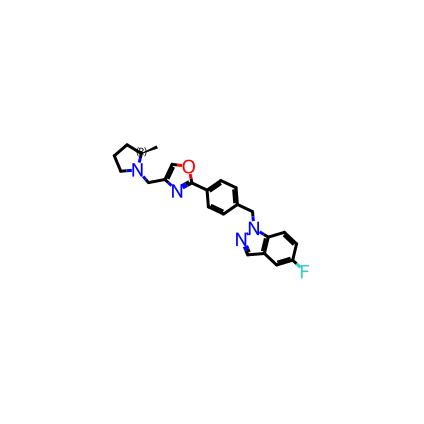 C[C@@H]1CCCN1Cc1coc(-c2ccc(Cn3ncc4cc(F)ccc43)cc2)n1